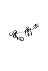 O=C(NCCCCCCC(=O)N(OCCN1CCOCC1)C1CCCCC1)NCCc1ccncc1